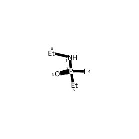 CCNP(=O)(I)CC